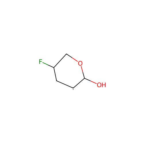 OC1[CH]CC(F)CO1